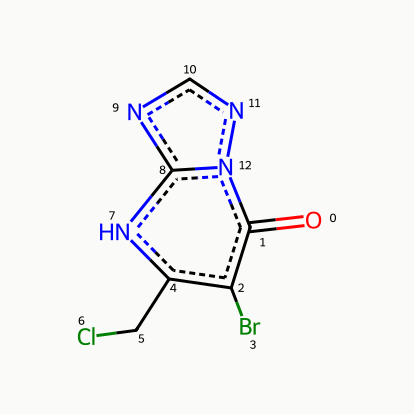 O=c1c(Br)c(CCl)[nH]c2ncnn12